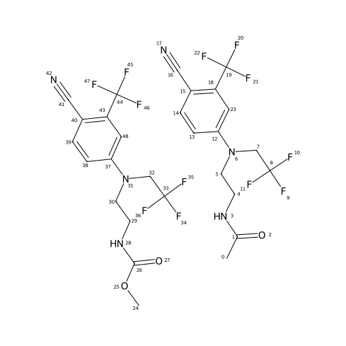 CC(=O)NCCN(CC(F)(F)F)c1ccc(C#N)c(C(F)(F)F)c1.COC(=O)NCCN(CC(F)(F)F)c1ccc(C#N)c(C(F)(F)F)c1